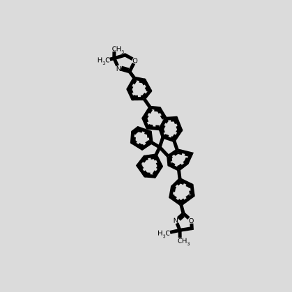 CC1(C)COC(c2ccc(-c3ccc4c(c3)C(c3ccccc3)(c3ccccc3)c3c-4ccc4cc(-c5ccc(C6=NC(C)(C)CO6)cc5)ccc34)cc2)=N1